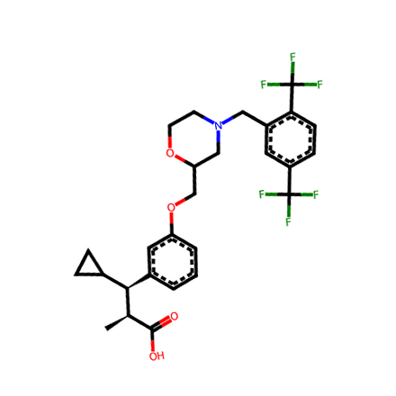 C[C@H](C(=O)O)[C@H](c1cccc(OCC2CN(Cc3cc(C(F)(F)F)ccc3C(F)(F)F)CCO2)c1)C1CC1